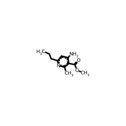 CCCc1cc(N)c(C(=O)OC)c(C)n1